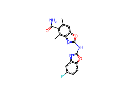 Cc1cc2oc(Nc3nc4cc(F)ccc4o3)nc2c(C)c1C(N)=O